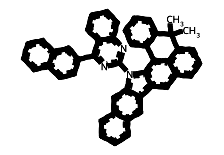 CC1(C)c2ccccc2-c2c3c1cccc3cc1c3cc4ccccc4cc3n(-c3nc(-c4ccc5ccccc5c4)c4ccccc4n3)c21